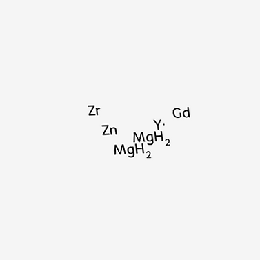 [Gd].[MgH2].[MgH2].[Y].[Zn].[Zr]